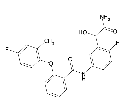 Cc1cc(F)ccc1Oc1ccccc1C(=O)Nc1ccc(F)c(C(O)C(N)=O)c1